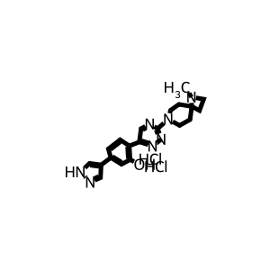 CN1CCC12CCN(c1ncc(-c3ccc(-c4cn[nH]c4)cc3O)nn1)CC2.Cl.Cl